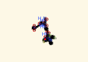 CC(C)[C@H](NC(=O)CCCCCN1C(=O)C=CC1=O)C(=O)N[C@@H](CCCNC(N)=O)C(=O)Nc1ccc(COC(=O)N[C@H](CF)CCN(C(=O)N2CCSCC2)[C@@H](c2nc(-c3cc(F)ccc3F)nn2Cc2ccccc2)C(C)(C)C)cc1